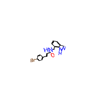 O=C(C=Cc1ccc(Br)cc1)NCc1cccc2cn[nH]c12